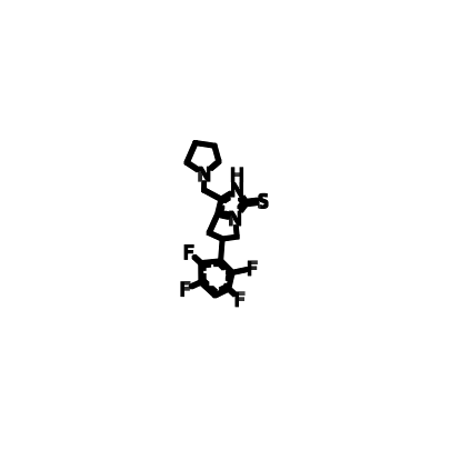 Fc1cc(F)c(F)c(C2Cc3c(CN4CCCC4)[nH]c(=S)n3C2)c1F